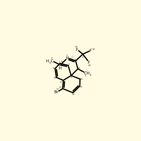 CN/N=C(\C(C)C12C=CC=CC1=C(Br)C=CC2)C(F)(F)F